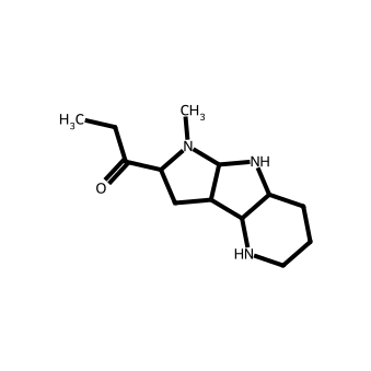 CCC(=O)C1CC2C3NCCCC3NC2N1C